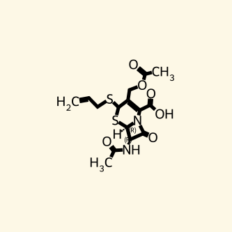 C=CCSC1S[C@@H]2[C@H](NC(C)=O)C(=O)N2C(C(=O)O)=C1COC(C)=O